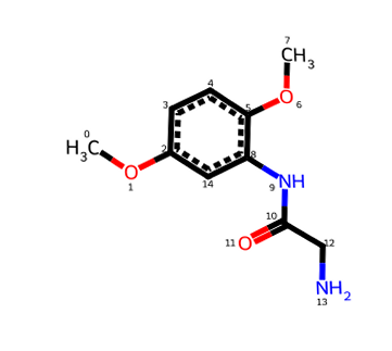 COc1ccc(OC)c(NC(=O)CN)c1